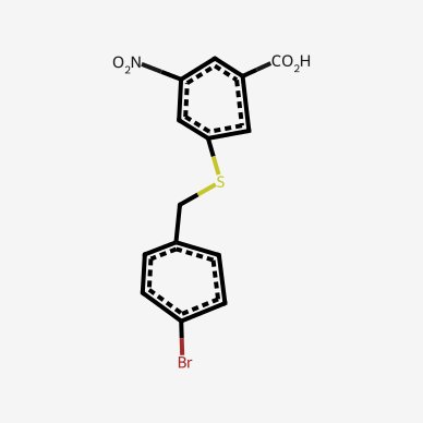 O=C(O)c1cc(SCc2ccc(Br)cc2)cc([N+](=O)[O-])c1